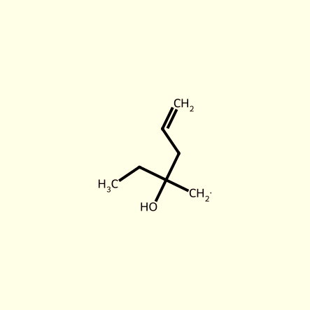 [CH2]C(O)(CC)CC=C